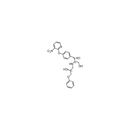 Cl.O=[N+]([O-])c1cccnc1Oc1ccc(C[C@@H](CO)NC[C@H](O)COc2ccccc2)cc1